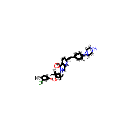 CC1(C)[C@H](Oc2ccc(C#N)c(Cl)c2)C(C)(C)[C@H]1N1Cc2nc(C#Cc3ccc(N4CCNCC4)cc3)ccc2C1=O